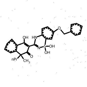 CCCC1(C)C(=O)C(C2=NS(O)(O)c3cc(OCc4ccccc4)ccc3N2)=C(O)c2ccccc21